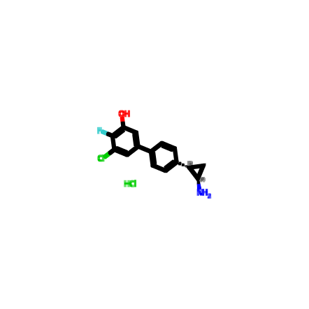 Cl.N[C@@H]1C[C@H]1c1ccc(-c2cc(O)c(F)c(Cl)c2)cc1